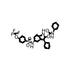 O=C(Nc1ccccc1)Oc1[nH]c2ccc(NS(=O)(=O)c3ccc(OC(F)(F)F)cc3)cc2c1-c1ccccc1